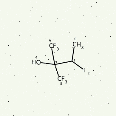 CC(I)C(O)(C(F)(F)F)C(F)(F)F